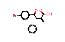 C=C(CC(=O)c1ccc(Br)cc1)C(=O)O.c1ccccc1